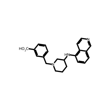 O=C(O)c1cccc(CN2CCCC(Nc3cccc4cnccc34)C2)c1